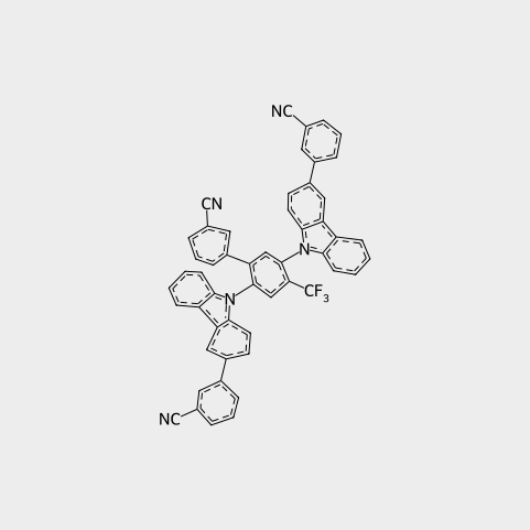 N#Cc1cccc(-c2ccc3c(c2)c2ccccc2n3-c2cc(C(F)(F)F)c(-n3c4ccccc4c4cc(-c5cccc(C#N)c5)ccc43)cc2-c2cccc(C#N)c2)c1